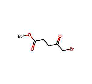 CCOC(=O)CCC(=O)CBr